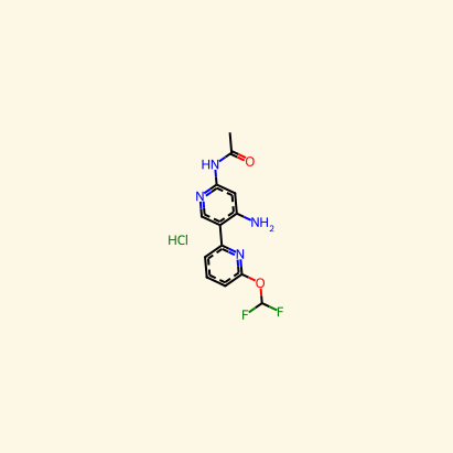 CC(=O)Nc1cc(N)c(-c2cccc(OC(F)F)n2)cn1.Cl